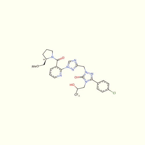 COC[C@H]1CCCN1C(=O)c1cccnc1-n1cnc(Cn2nc(-c3ccc(Cl)cc3)n(CC(O)C(F)(F)F)c2=O)n1